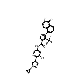 O=C(Nc1cnc(-c2cnn(C3CC3)c2)c(Cl)c1)c1cnn(-c2cccc3c(=O)[nH]ccc23)c1C(F)(F)F